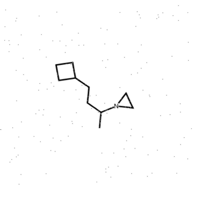 CC(CCC1CCC1)N1CC1